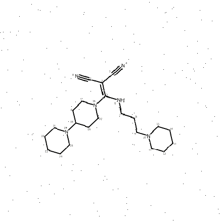 N#CC(C#N)=C(NCCCN1CCCCC1)N1CCC(N2CCCCC2)CC1